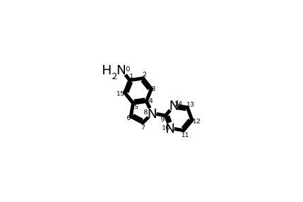 Nc1ccc2c(ccn2-c2ncccn2)c1